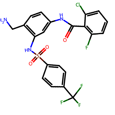 NCc1ccc(NC(=O)c2c(F)cccc2Cl)cc1NS(=O)(=O)c1ccc(C(F)(F)F)cc1